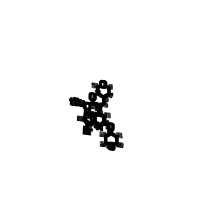 CC(C)(C)OC(=O)N(CC1CCOCC1)c1cc(OC2CCOCC2)nc2c(Br)cnn12